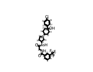 O=C(CNC(=O)c1cccc(C(F)(F)F)c1)[AsH]C1CCN(C2CCC(O)(c3ccc(Cl)cc3)CC2)C1